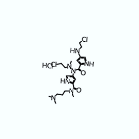 CN(C)CCCN(C)C(=O)c1cc(N(C(=O)c2cc(NCCCl)c[nH]2)N(C)CCCl)c[nH]1.Cl